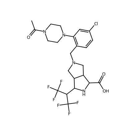 CC(=O)N1CCN(c2cc(Cl)ccc2CN2CC3C(C(=O)O)NC(C(C(F)(F)F)C(F)(F)F)C3C2)CC1